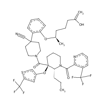 C=C(O)CCC[C@@H](C)Oc1ccccc1C1(C#N)CCN(C(=O)[C@]2(Oc3csc(C(F)(F)F)c3)CCCN(C(=O)c3ncccc3C(F)(F)F)[C@@H]2CCC)CC1